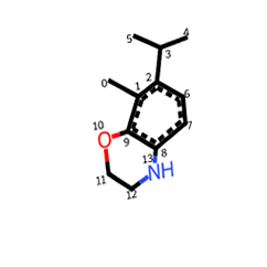 Cc1c(C(C)C)ccc2c1OCCN2